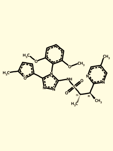 COc1cccc(OC)c1-n1c(NS(=O)(=O)[C@@H](C)[C@H](C)c2ncc(C)cn2)nnc1-c1ccc(C)o1